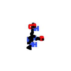 COCCCn1cc(CCCNC(=O)OC)c2cnc(C(C)NC3CC3)cc21